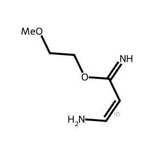 COCCOC(=N)/C=C\N